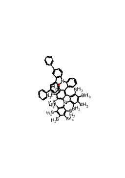 Bc1c(B)c(B)c(-n2c3c(B)c(B)c(B)c(B)c3c3c(-c4ccccc4-n4c5ccc(-c6ccccc6)cc5c5cc(-c6ccccc6)ccc54)c(B)c(B)c(B)c32)c(B)c1B